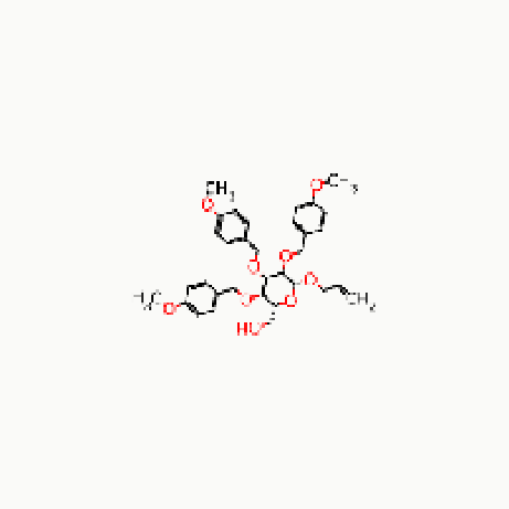 C=CCO[C@@H]1O[C@H](CO)[C@@H](OCc2ccc(OC)cc2)[C@H](OCc2ccc(OC)cc2)[C@H]1OCc1ccc(OC)cc1